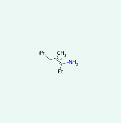 CC/C(N)=C(/C)CC(C)C